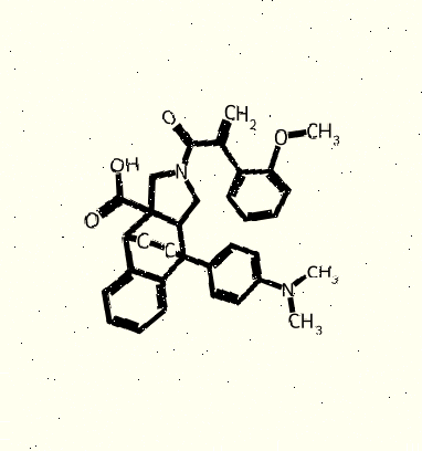 C=C(C(=O)N1CC2C3(c4ccc(N(C)C)cc4)CCC(c4ccccc43)C2(C(=O)O)C1)c1ccccc1OC